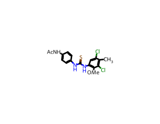 COc1c(NC(=S)Nc2ccc(NC(C)=O)cc2)cc(Cl)c(C)c1Cl